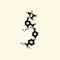 COc1ccc(CN2C(=O)NC(=O)C2=O)cc1C(=O)NCc1ccc(Oc2ccc(C(C)C)cc2)cc1